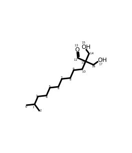 CC(C)CCCCCCCCC(C=O)(CO)CO